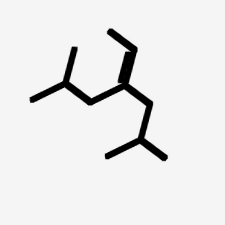 CC=C(CC(C)C)CC(C)C